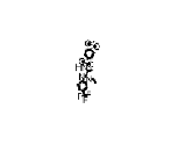 CCn1c(C(C)NS(=O)(=O)c2ccc(S(C)(=O)=O)cc2)nc2ccc(C(F)(F)F)cc21